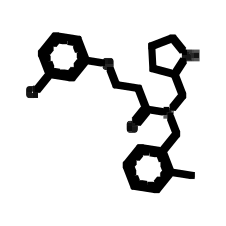 Cc1ccccc1CN(CC1CCCN1)C(=O)CCOc1cccc(Cl)c1